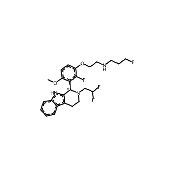 COc1ccc(OCCNCCCF)c(F)c1[C@@H]1c2[nH]c3ccccc3c2CCN1CC(F)F